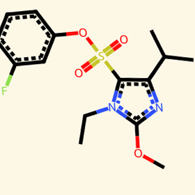 CCn1c(OC)nc(C(C)C)c1S(=O)(=O)Oc1cccc(F)c1